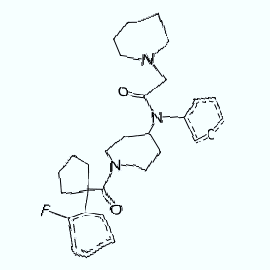 O=C(CN1CCCCC1)N(c1ccccc1)C1CCN(C(=O)C2(c3ccccc3F)CCCC2)CC1